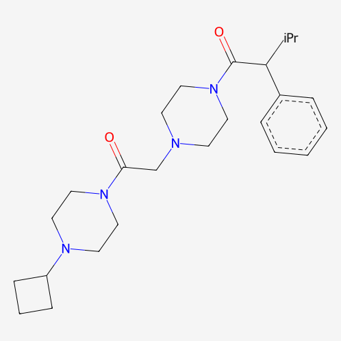 CC(C)C(C(=O)N1CCN(CC(=O)N2CCN(C3CCC3)CC2)CC1)c1ccccc1